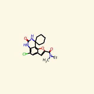 CCN(C)C(=O)c1cc2cc(Cl)c3c(c2o1)C1(CCCCC1)NC(=O)N3